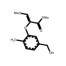 CO/C=C(\Oc1cc(CO)ccc1C)C(=O)OC